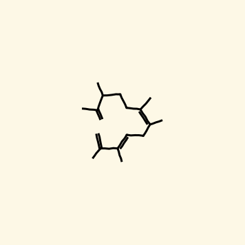 C=C(C)C(C)=CCC(C)=C(C)CCC(C)C(=C)C